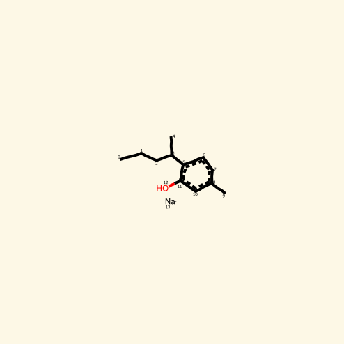 CCCC(C)c1ccc(C)cc1O.[Na]